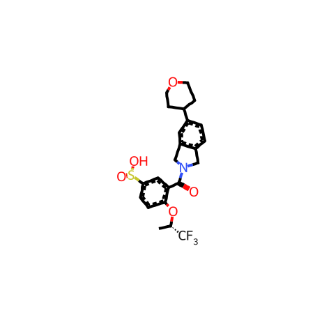 C[C@H](Oc1ccc(S(=O)O)cc1C(=O)N1Cc2ccc(C3CCOCC3)cc2C1)C(F)(F)F